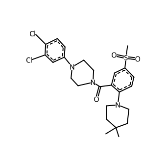 CC1(C)CCN(c2ccc(S(C)(=O)=O)cc2C(=O)N2CCN(c3ccc(Cl)c(Cl)c3)CC2)CC1